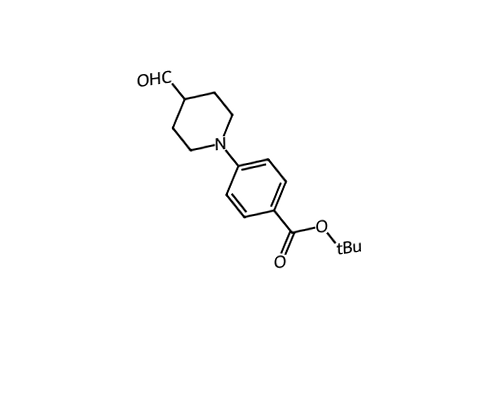 CC(C)(C)OC(=O)c1ccc(N2CCC(C=O)CC2)cc1